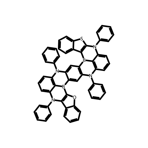 c1ccc(N2c3cc4c(cc3B3c5c2cccc5N(c2ccccc2)c2sc5ccccc5c23)N(c2ccccc2)c2cccc3c2B4c2oc4ccccc4c2N3c2ccccc2)cc1